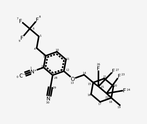 [C-]#[N+]c1c(CCC(F)(F)F)ccc(OCC23CCC(C)(CC2)C(F)(F)C3(F)F)c1C#N